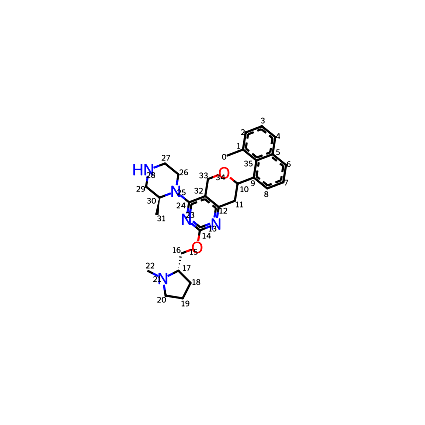 Cc1cccc2cccc(C3Cc4nc(OC[C@@H]5CCCN5C)nc(N5CCNC[C@@H]5C)c4CO3)c12